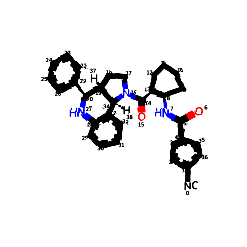 [C-]#[N+]c1ccc(C(=O)N[C@@H]2CCCC[C@@H]2C(=O)N2CC[C@@H]3[C@H](c4ccccc4)Nc4ccccc4[C@@H]32)cc1